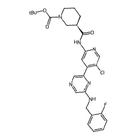 CC(C)(C)OC(=O)N1CCC[C@@H](C(=O)Nc2cc(-c3cncc(NCc4ccccc4F)n3)c(Cl)cn2)C1